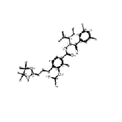 CC[C@H](C(C)C)N(NC(=O)c1ccc(CCCB2OC(C)(C)C(C)(C)O2)c(OC(F)F)c1C)C(=O)c1cc(C)cc(C)c1